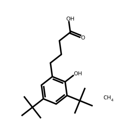 C.CC(C)(C)c1cc(CCCC(=O)O)c(O)c(C(C)(C)C)c1